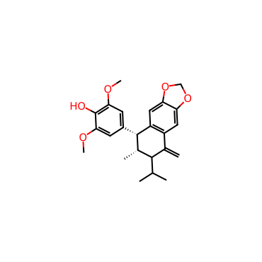 C=C1c2cc3c(cc2[C@@H](c2cc(OC)c(O)c(OC)c2)[C@@H](C)C1C(C)C)OCO3